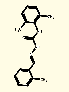 Cc1ccccc1/C=N/NC(=O)Nc1c(C)cccc1C